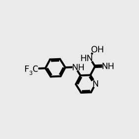 N=C(NO)c1ncccc1Nc1ccc(C(F)(F)F)cc1